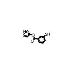 O=C(Oc1csnn1)c1cccc(S)c1